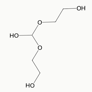 OCCOC(O)OCCO